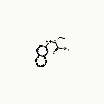 CC[C@@H](Nc1ccc2ccccc2n1)C(N)=O